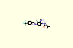 CC(C)CC(=O)Nc1ccc(NCc2ccc(C(F)(F)F)cc2)c(F)c1N